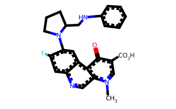 Cn1cc(C(=O)O)c(=O)c2c3cc(N4CCCC4CNc4ccccc4)c(F)cc3ncc21